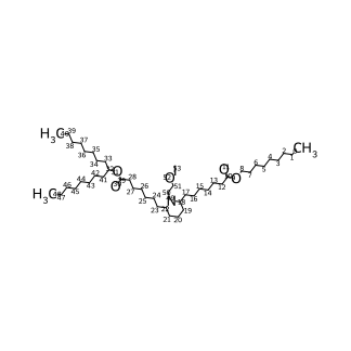 CCCCCCCCCOC(=O)CCCCCCC1CCCC(CCCCCCC(=O)OC(CCCCCCCC)CCCCCCCC)N1CCOI